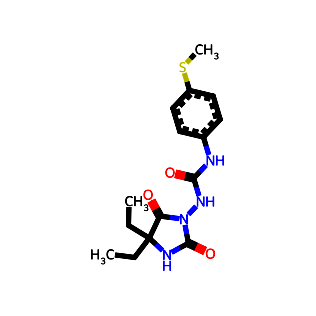 CCC1(CC)NC(=O)N(NC(=O)Nc2ccc(SC)cc2)C1=O